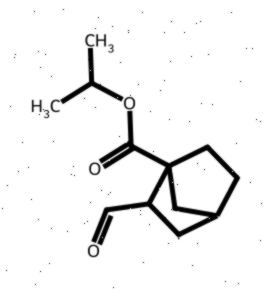 CC(C)OC(=O)C12CCC([CH]C1C=O)C2